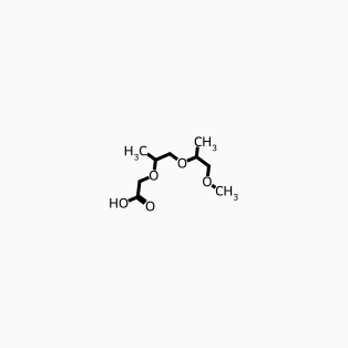 COCC(C)OCC(C)OCC(=O)O